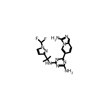 CC(C)(Nc1nc(N)nc(-c2ccc3cnc(N)n3c2)n1)c1ccn(C(F)F)n1